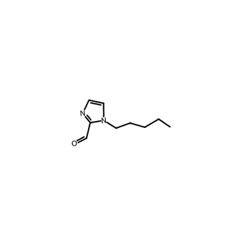 CCCCCn1ccnc1C=O